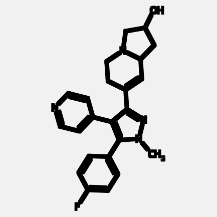 Cn1nc(C2=CC3CC(O)CN3CC2)c(-c2ccncc2)c1-c1ccc(F)cc1